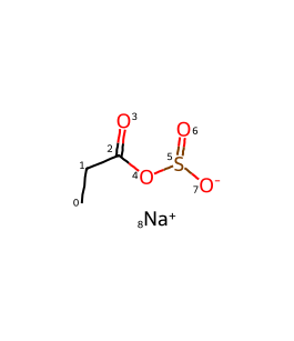 CCC(=O)OS(=O)[O-].[Na+]